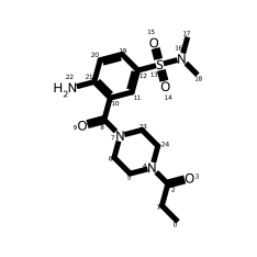 CCC(=O)N1CCN(C(=O)c2cc(S(=O)(=O)N(C)C)ccc2N)CC1